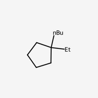 CCCCC1(CC)CCCC1